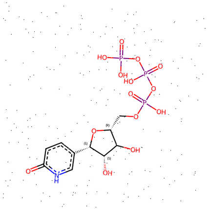 O=c1ccc([C@@H]2O[C@H](COP(=O)(O)OP(=O)(O)OP(=O)(O)O)C(O)[C@@H]2O)c[nH]1